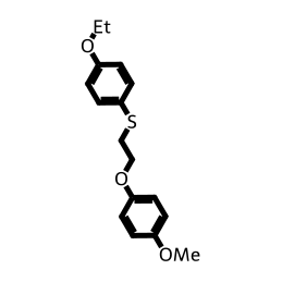 CCOc1ccc(SCCOc2ccc(OC)cc2)cc1